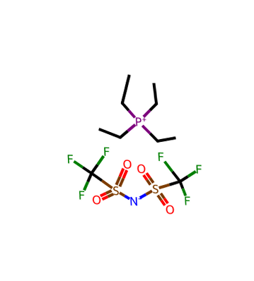 CC[P+](CC)(CC)CC.O=S(=O)([N-]S(=O)(=O)C(F)(F)F)C(F)(F)F